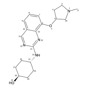 CN1CCC(Oc2cccc3cnc(N[C@H]4CC[C@H](O)CC4)nc23)C1